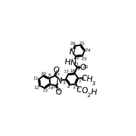 Cc1c(C(=O)O)cc(N2C(=O)c3ccccc3C2=O)cc1C(=O)Nc1ccccn1